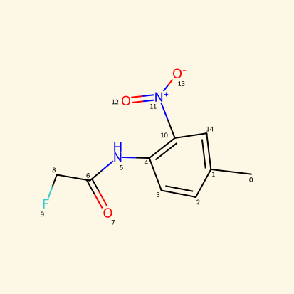 Cc1ccc(NC(=O)CF)c([N+](=O)[O-])c1